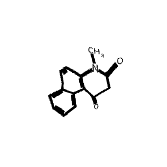 CN1C(=O)CC(=O)c2c1ccc1ccccc21